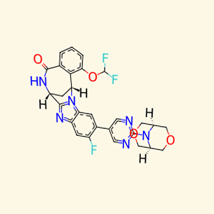 O=C1N[C@@H]2C[C@H](c3c(OC(F)F)cccc31)n1c2nc2cc(F)c(-c3cnc(N4[C@H]5COC[C@@H]4COC5)nc3)cc21